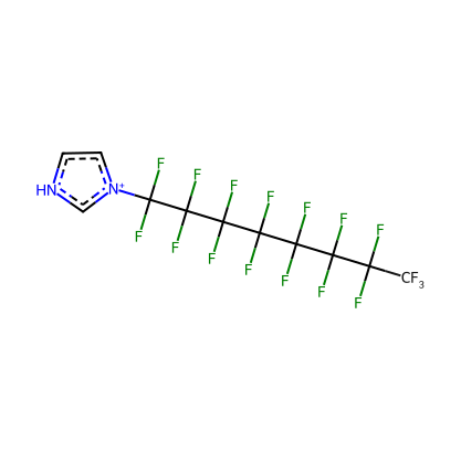 FC(F)(F)C(F)(F)C(F)(F)C(F)(F)C(F)(F)C(F)(F)C(F)(F)C(F)(F)[n+]1cc[nH]c1